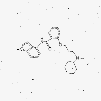 CN(CCCOc1ccccc1C(=O)Nc1cccc2[nH]ccc12)C1CCCCC1